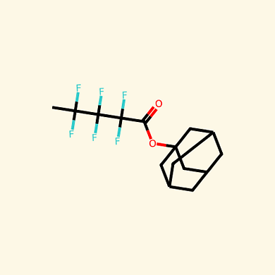 CC(F)(F)C(F)(F)C(F)(F)C(=O)OC12CC3CC(CC(C3)C1)C2